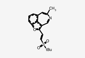 CC1=Cc2cccc3oc(C=CS(=O)(=O)C(C)(C)C)c(c23)C=N1